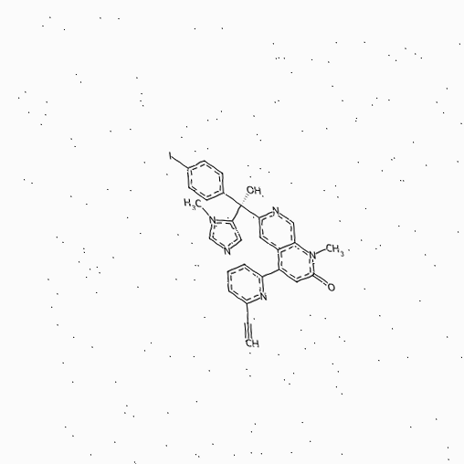 C#Cc1cccc(-c2cc(=O)n(C)c3cnc([C@](O)(c4ccc(I)cc4)c4cncn4C)cc23)n1